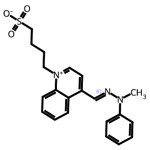 CN(/N=C/c1cc[n+](CCCCS(=O)(=O)[O-])c2ccccc12)c1ccccc1